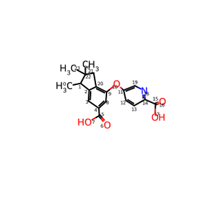 CC1c2cc(C(=O)O)cc(Oc3ccc(C(=O)O)nc3)c2CC1(C)C